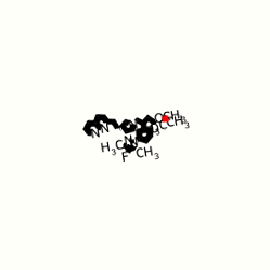 Cc1nn(-c2cccc(C(CC(=O)OC(C)(C)C)CN3CC[C@@H](CCc4ccc5cccnc5n4)C3)c2)c(C)c1F